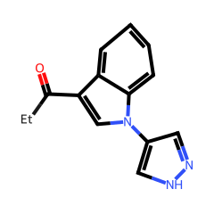 CCC(=O)c1cn(-c2cn[nH]c2)c2ccccc12